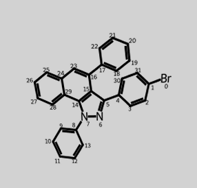 Brc1ccc(-c2nn(-c3ccccc3)c3c2c(-c2ccccc2)cc2ccccc23)cc1